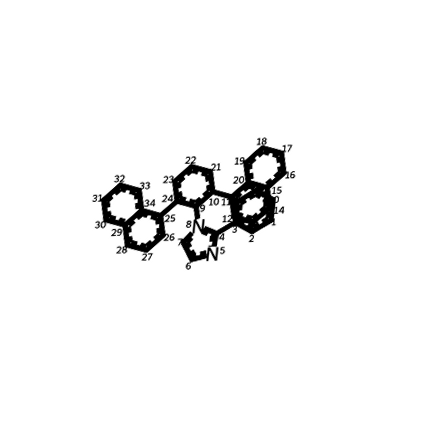 c1ccc(-c2nccn2-c2c(-c3cccc4ccccc34)cccc2-c2cccc3ccccc23)cc1